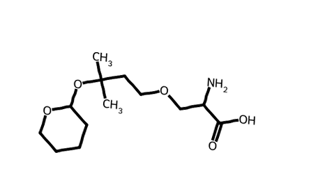 CC(C)(CCOCC(N)C(=O)O)OC1CCCCO1